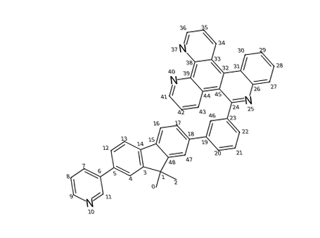 CC1(C)c2cc(-c3cccnc3)ccc2-c2ccc(-c3cccc(-c4nc5ccccc5c5c6cccnc6c6ncccc6c45)c3)cc21